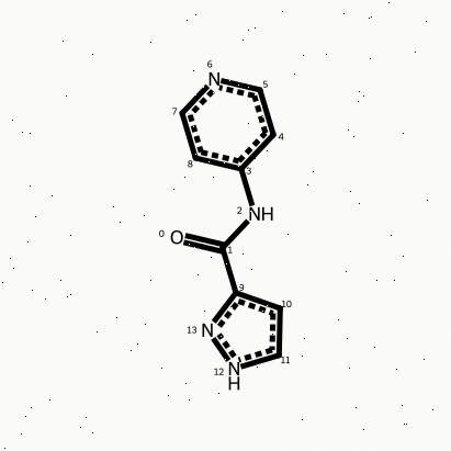 O=C(Nc1ccncc1)c1cc[nH]n1